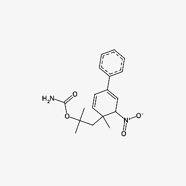 CC(C)(CC1(C)C=CC(c2ccccc2)=CC1[N+](=O)[O-])OC(N)=O